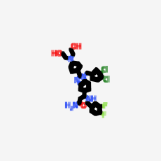 NC(=O)CC(NCc1ccc(F)c(F)c1)c1ccc2c(c1)nc(-c1ccc(N(CCO)CCO)cc1)n2Cc1ccc(Cl)c(Cl)c1